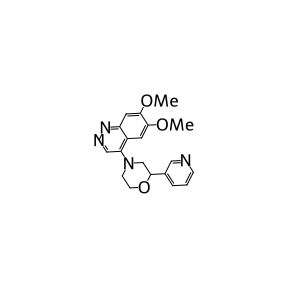 COc1cc2nncc(N3CCOC(c4cccnc4)C3)c2cc1OC